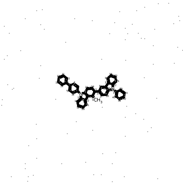 CC1c2c(n(-c3ccc(-c4ccccc4)cc3)c3ccccc23)C=CC1c1ccc2c(c1)c1ccccc1n2-c1ccccc1